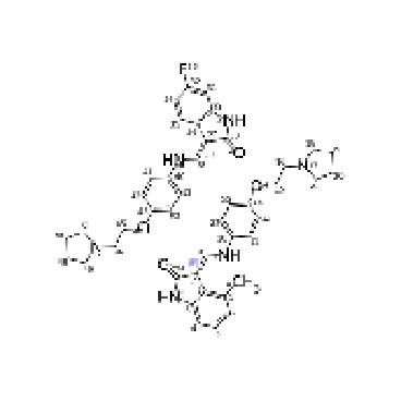 Cc1cccc2c1/C(=C\Nc1ccc(OCCN3CCCC3)cc1)C(=O)N2.O=C1Nc2cc(F)ccc2/C1=C\Nc1ccc(OCCN2CCCC2)cc1